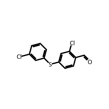 O=Cc1ccc(Sc2cccc(Cl)c2)cc1Cl